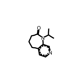 CC(C)N1C(=O)CCCc2ccncc21